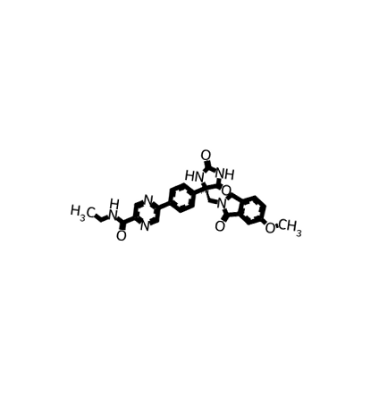 CCNC(=O)c1cnc(-c2ccc([C@]3(CN4Cc5ccc(OC)cc5C4=O)NC(=O)NC3=O)cc2)cn1